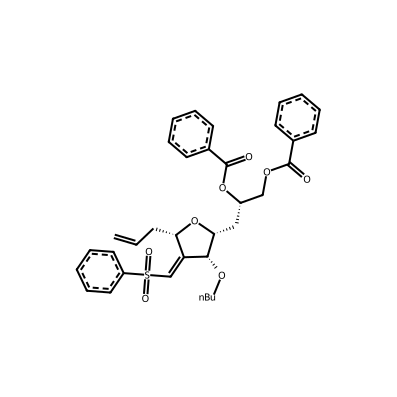 C=CC[C@@H]1O[C@H](C[C@@H](COC(=O)c2ccccc2)OC(=O)c2ccccc2)[C@H](OCCCC)C1=CS(=O)(=O)c1ccccc1